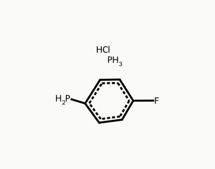 Cl.Fc1ccc(P)cc1.P